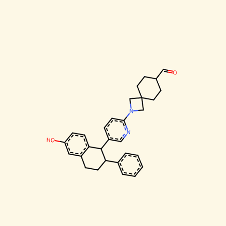 O=CC1CCC2(CC1)CN(c1ccc(C3c4ccc(O)cc4CCC3c3ccccc3)cn1)C2